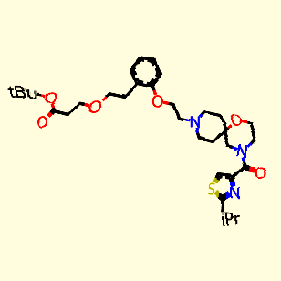 CC(C)c1nc(C(=O)N2CCOC3(CCN(CCOc4ccccc4CCOCCC(=O)OC(C)(C)C)CC3)C2)cs1